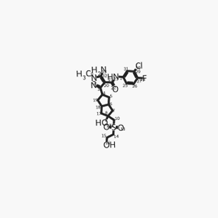 Cn1nc(C2CC3CC(O)(CS(=O)(=O)CCO)CC3C2)c(C(=O)Nc2ccc(F)c(Cl)c2)c1N